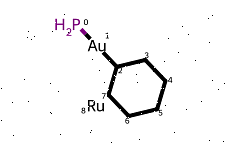 [PH2][Au][CH]1CCCCC1.[Ru]